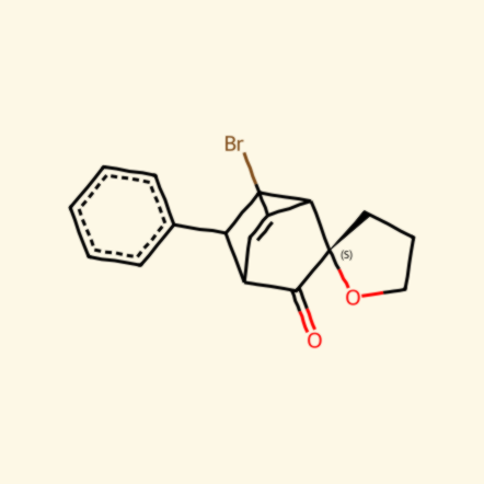 O=C1C2C=C(Br)C(CC2c2ccccc2)[C@@]12CCCO2